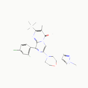 Cc1[c]([Sn]([CH3])([CH3])[CH3])nc2c(-c3ccc(Cl)cc3F)nc(N3CCO[C@@H](c4cnn(C)c4)C3)cn2c1=O